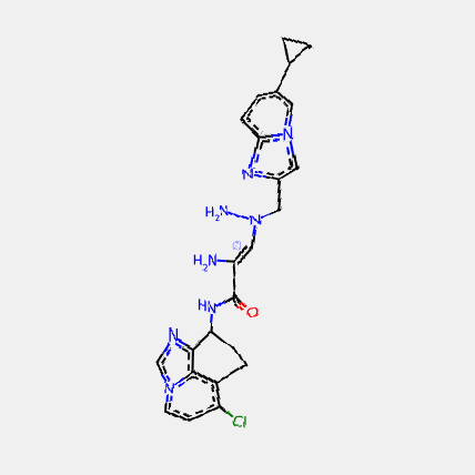 N/C(=C\N(N)Cc1cn2cc(C3CC3)ccc2n1)C(=O)NC1CCc2c(Cl)ccn3cnc1c23